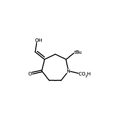 CC(C)(C)C1CC(=CO)C(=O)CCN1C(=O)O